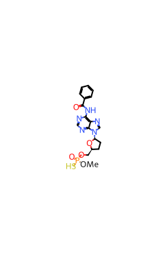 COP(=O)(S)OC[C@@H]1CC[C@H](n2cnc3c(NC(=O)c4ccccc4)ncnc32)O1